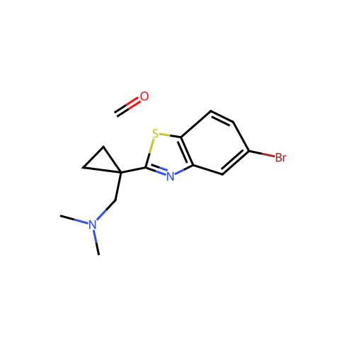 C=O.CN(C)CC1(c2nc3cc(Br)ccc3s2)CC1